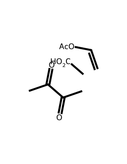 C=COC(C)=O.CC(=O)C(C)=O.CC(=O)O